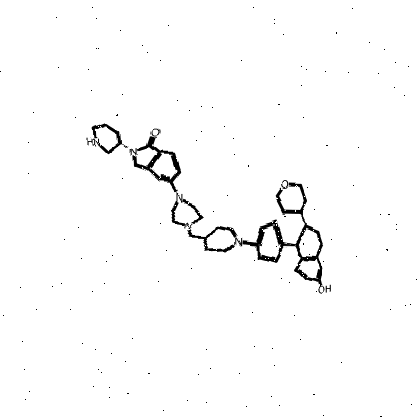 O=C1c2ccc(N3CCN(CC4CCN(c5ccc([C@@H]6c7ccc(O)cc7CC[C@@H]6C6CCOCC6)cc5)CC4)CC3)cc2CN1[C@H]1CCCNC1